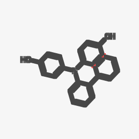 Oc1ccc(N(c2ccc(O)cc2)c2ccccc2-c2ccccc2)cc1